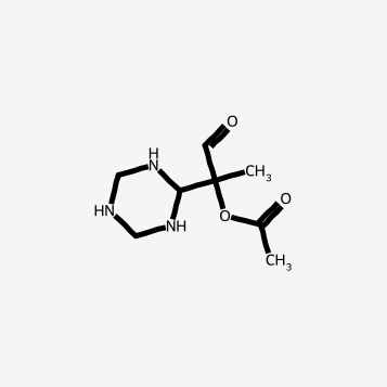 CC(=O)OC(C)(C=O)C1NCNCN1